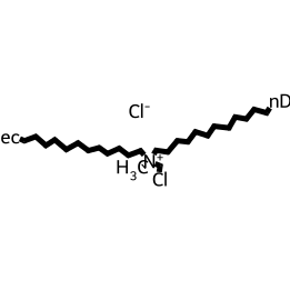 CCCCCCCCCCCCCCCCCCCCCC[N+](C)(CCl)CCCCCCCCCCCCCCCCCCCCCC.[Cl-]